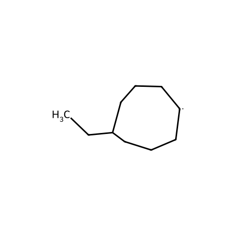 CCC1CCC[CH]CCC1